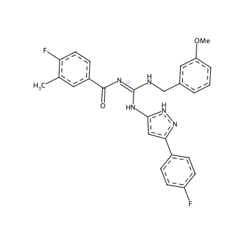 COc1cccc(CN/C(=N/C(=O)c2ccc(F)c(C)c2)Nc2cc(-c3ccc(F)cc3)n[nH]2)c1